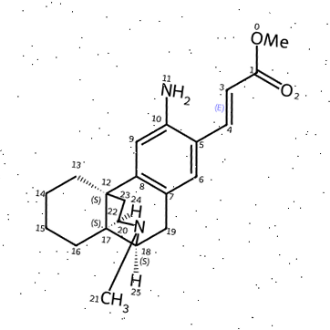 COC(=O)/C=C/c1cc2c(cc1N)[C@]13CCCC[C@@H]1[C@H](C2)N(C)CC3